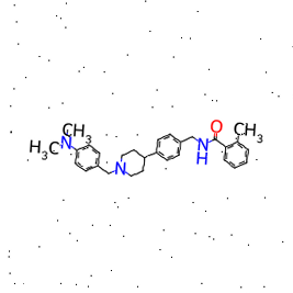 Cc1ccccc1C(=O)NCc1ccc(C2CCN(Cc3ccc(N(C)C)cc3)CC2)cc1